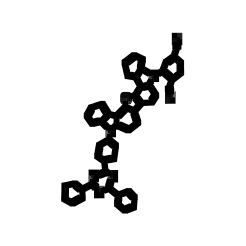 N#Cc1ccc(C#N)c(-n2c3ccccc3c3c4oc5c(ccc6c5c5ccccc5n6-c5ccc(-c6nc(-c7ccccc7)nc(-c7ccccc7)n6)cc5)c4ccc32)c1